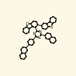 c1ccc2cc(-c3ccc(-c4nc(-c5ccc6ccccc6c5)nc(-c5c(-c6ccc7sc8ccccc8c7c6)ccc6oc7ccccc7c56)n4)cc3)ccc2c1